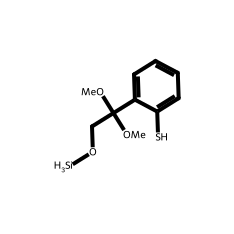 COC(CO[SiH3])(OC)c1ccccc1S